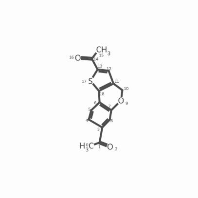 CC(=O)c1ccc2c(c1)OCc1cc(C(C)=O)sc1-2